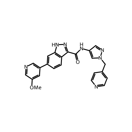 COc1cncc(-c2ccc3c(C(=O)Nc4cnn(Cc5ccncc5)c4)n[nH]c3c2)c1